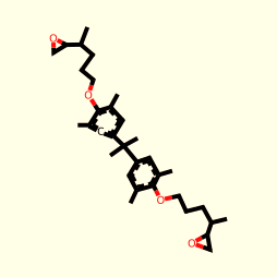 Cc1cc(C(C)(C)c2cc(C)c(OCCCC(C)C3CO3)c(C)c2)cc(C)c1OCCCC(C)C1CO1